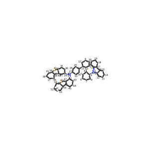 c1ccc(-c2ccccc2-n2c3ccccc3c3ccccc32)c(-c2ccc(N(c3ccc4sc5ccccc5c4c3)c3cccc4c3sc3ccccc34)cc2)c1